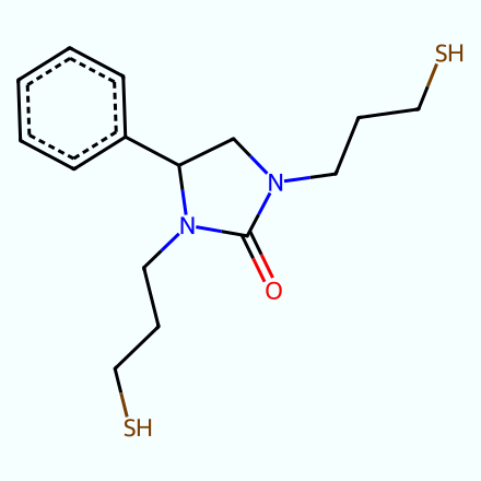 O=C1N(CCCS)CC(c2ccccc2)N1CCCS